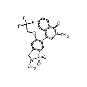 CN1Cc2cc(OCC(F)(F)F)c(-c3cn(C)c(=O)c4ccccc34)cc2S1(=O)=O